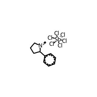 C=[N+]1CCCC1c1ccccc1.[Cl][Sb-]([Cl])([Cl])([Cl])([Cl])[Cl]